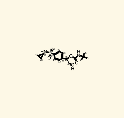 CC(C)(C)NC(=O)O[C@@H](CO)c1ccc(S(=O)(=O)NC2CC2)cc1